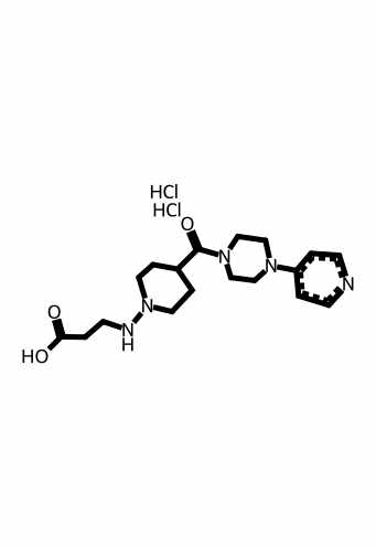 Cl.Cl.O=C(O)CCNN1CCC(C(=O)N2CCN(c3ccncc3)CC2)CC1